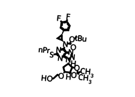 CCCSc1nc(N(C(=O)OC(C)(C)C)[C@@H]2C[C@H]2c2ccc(F)c(F)c2)c2nnn([C@@H]3C[C@H](OCCO)[C@H]4OC(C)(C)O[C@H]43)c2n1